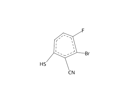 N#Cc1c(S)ccc(F)c1Br